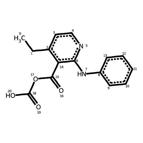 CCc1ccnc(Nc2ccccc2)c1C(=O)OC(=O)O